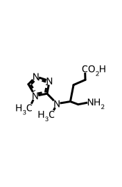 CN(c1nncn1C)C(CN)CCC(=O)O